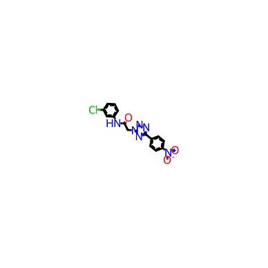 O=C(Cn1nnc(-c2ccc([N+](=O)[O-])cc2)n1)Nc1cccc(Cl)c1